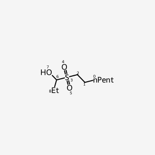 CCCCCCCS(=O)(=O)C(O)CC